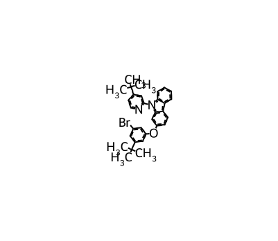 CC(C)(C)c1cc(Br)cc(Oc2ccc3c4ccccc4n(-c4cc(C(C)(C)C)ccn4)c3c2)c1